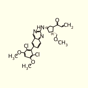 C=CC(=O)C1C[C@@H](Nc2ncc3cc(-c4c(Cl)c(OC)cc(OC)c4Cl)ccc3n2)C[C@H]1COC